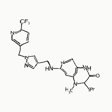 CC(C)C1C(=O)Nc2cnc(NCc3cnn(Cc4ccc(C(F)(F)F)nc4)c3)cc2N1C